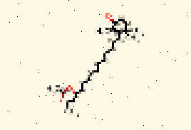 CCCC(CCCCCCCCCCCC1=C(C)C(=O)CCC1(C)C)OC(C)=O